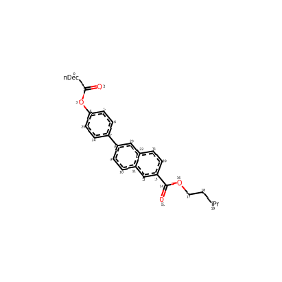 CCCCCCCCCCC(=O)Oc1ccc(-c2ccc3cc(C(=O)OCCC(C)C)ccc3c2)cc1